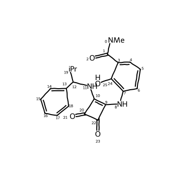 CNC(=O)c1cccc(Nc2c(NC(c3ccccc3)C(C)C)c(=O)c2=O)c1O